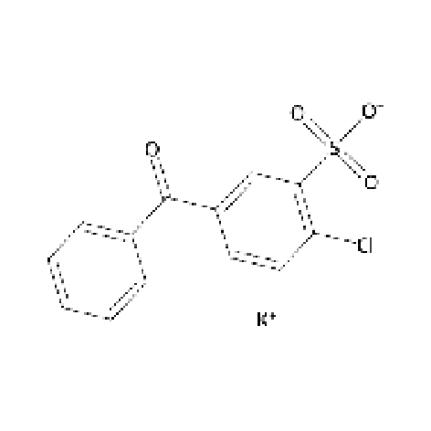 O=C(c1ccccc1)c1ccc(Cl)c(S(=O)(=O)[O-])c1.[K+]